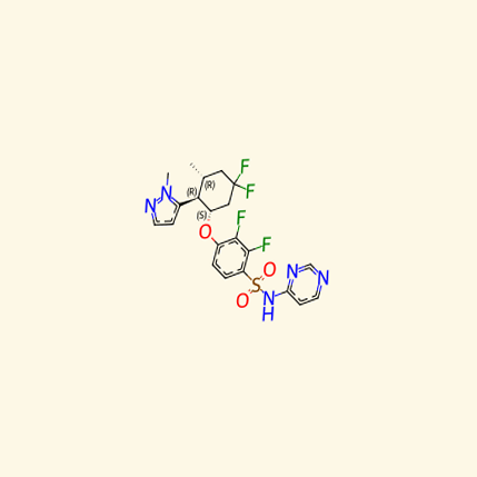 C[C@@H]1CC(F)(F)C[C@H](Oc2ccc(S(=O)(=O)Nc3ccncn3)c(F)c2F)[C@H]1c1ccnn1C